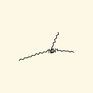 CCCCCCCCCCCCCCCCn1cc[n+](CCCCCCCCCC)c1CCCCCCCCC